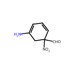 NC1=CC=CC(C=O)([N+](=O)[O-])C1